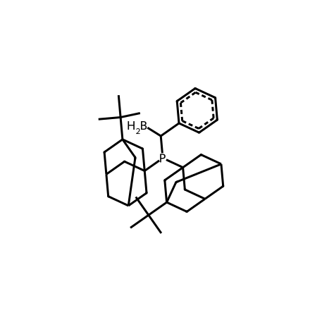 BC(c1ccccc1)P(C12CC3CC(C1)CC(C(C)(C)C)(C3)C2)C12CC3CC(C1)CC(C(C)(C)C)(C3)C2